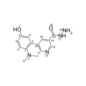 CN(C)c1ccc(O)cc1-c1cncc(C(=O)NN)c1